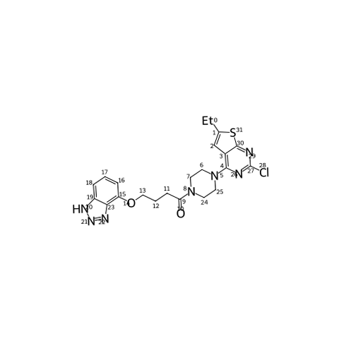 CCc1cc2c(N3CCN(C(=O)CCCOc4cccc5[nH]nnc45)CC3)nc(Cl)nc2s1